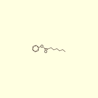 CCCCCCC1=C(Oc2ccccc2)O1